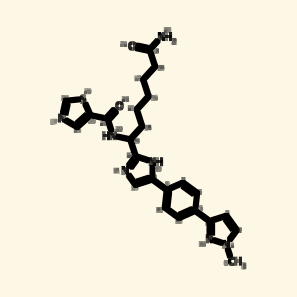 Cn1ccc(-c2ccc(-c3cnc(C(CCCCCC(N)=O)NC(=O)c4cncs4)[nH]3)cc2)n1